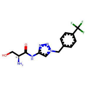 N[C@@H](CO)C(=O)Nc1cn(Cc2ccc(C(F)(F)F)cc2)nn1